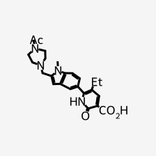 CCc1cc(C(=O)O)c(=O)[nH]c1-c1ccc2c(c1)cc(CN1CCN(C(C)=O)CC1)n2C